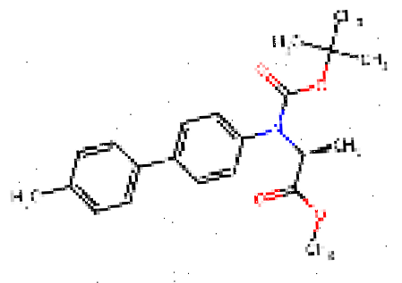 COC(=O)[C@H](C)N(C(=O)OC(C)(C)C)c1ccc(-c2ccc(C)cc2)cc1